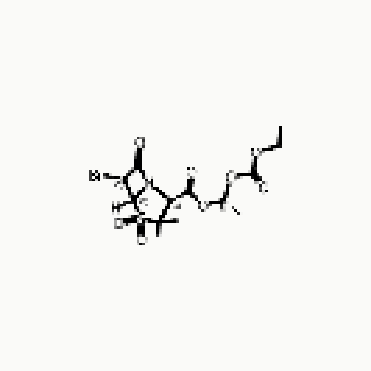 CCOC(=O)O[C@H](C)OC(=O)[C@@H]1N2C(=O)[C@H](Br)[C@H]2S(=O)(=O)C1(C)C